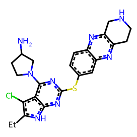 CCc1[nH]c2nc(Sc3ccc4nc5c(nc4c3)CCNC5)nc(N3CCC(N)C3)c2c1Cl